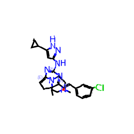 CC1C/C=C(N2CCN(C)CC2)/N=C(Nc2cc(C3CC3)[nH]n2)\N=C1\C=C\c1cccc(Cl)c1